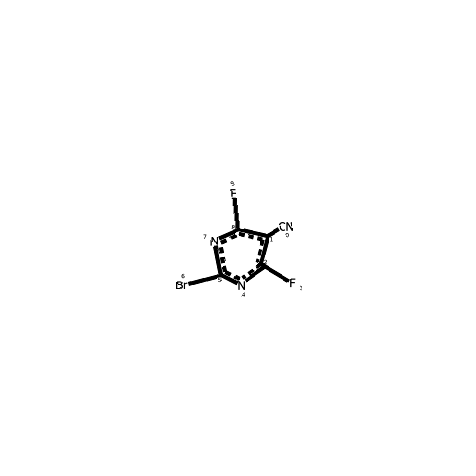 N#Cc1c(F)nc(Br)nc1F